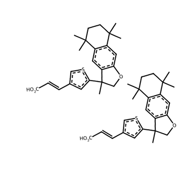 CC1(C)CCC(C)(C)c2cc3c(cc21)OCC3(C)c1cc(C=CC(=O)O)cs1.CC1(C)CCC(C)(C)c2cc3c(cc21)OCC3(C)c1cc(C=CC(=O)O)cs1